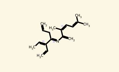 C=CCC(=N\C(=C)/C(C)=C\C=C(C)C)/C(C=C)=C/C